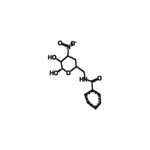 O=C(NCC1CC([N+](=O)[O-])C(O)[C@H](O)O1)c1ccccc1